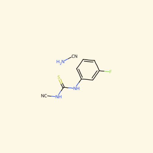 N#CN.N#CNC(=S)Nc1cccc(F)c1